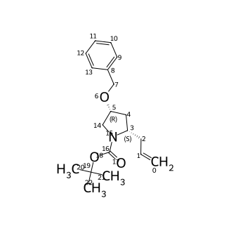 C=CC[C@H]1C[C@@H](OCc2ccccc2)CN1C(=O)OC(C)(C)C